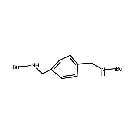 CCC(C)NCc1ccc(CNC(C)CC)cc1